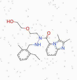 CCc1cccc(C)c1CNN(CCOCCO)C(=O)c1cccc2nc(C)c(C)n12